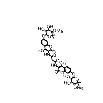 CO[C@@H]1[C@@H](O)[C@@H](O)[C@H](Oc2ccc3c(O)c(NC(=O)CC(=O)Nc4c(O)c5ccc(O[C@@H]6OC(C)(C)[C@H](OC)[C@@H](O)[C@H]6O)cc5oc4=O)c(=O)oc3c2)OC1(C)C